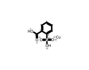 O=C(O)c1ccccc1S(=O)(=O)O.[Cu]